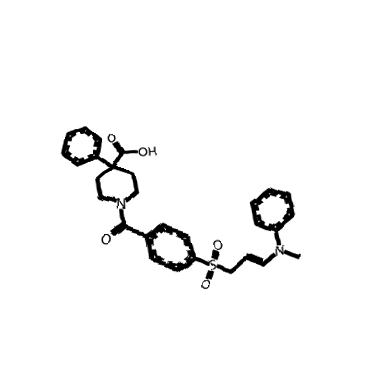 CN(C=CCS(=O)(=O)c1ccc(C(=O)N2CCC(C(=O)O)(c3ccccc3)CC2)cc1)c1ccccc1